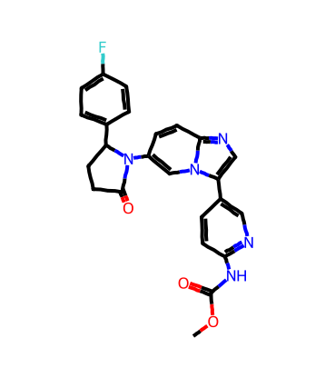 COC(=O)Nc1ccc(-c2cnc3ccc(N4C(=O)CCC4c4ccc(F)cc4)cn23)cn1